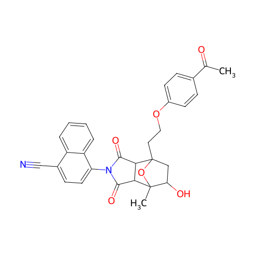 CC(=O)c1ccc(OCCC23CC(O)C(C)(O2)C2C(=O)N(c4ccc(C#N)c5ccccc45)C(=O)C23)cc1